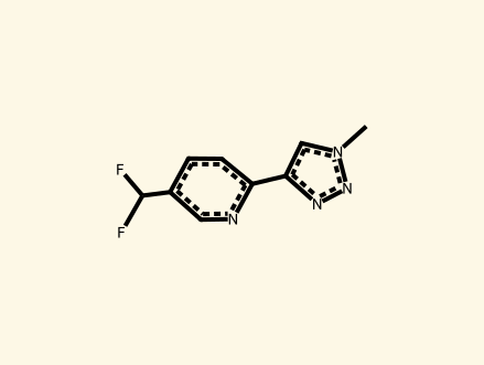 Cn1cc(-c2ccc(C(F)F)cn2)nn1